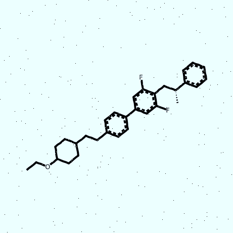 CCOC1CCC(CCc2ccc(-c3cc(F)c(C[C@@H](C)c4ccccc4)c(F)c3)cc2)CC1